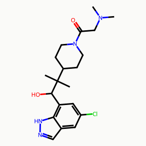 CN(C)CC(=O)N1CCC(C(C)(C)C(O)c2cc(Cl)cc3cn[nH]c23)CC1